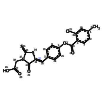 Cc1ccc(C(=O)Oc2ccc(/C=C3\SC(=S)N(CC(=O)O)C3=O)cc2)c(Cl)c1